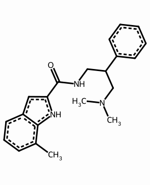 Cc1cccc2cc(C(=O)NCC(CN(C)C)c3ccccc3)[nH]c12